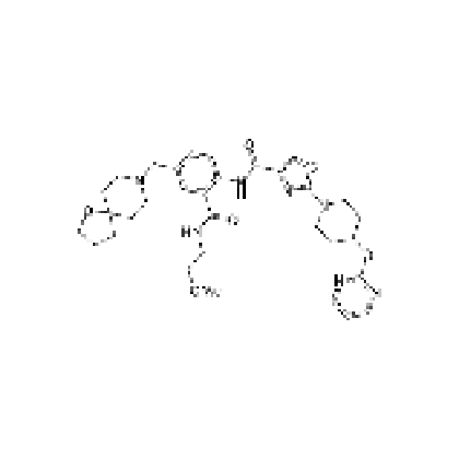 COCCNC(=O)c1cc(CN2CCC3(CCCO3)CC2)ccc1NC(=O)c1csc(N2CCC(Oc3ncccn3)CC2)n1